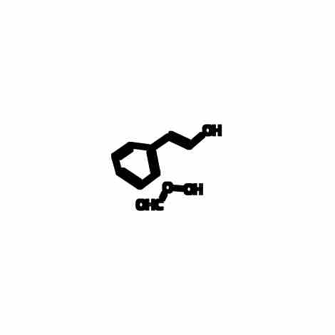 O=COO.OC=Cc1ccccc1